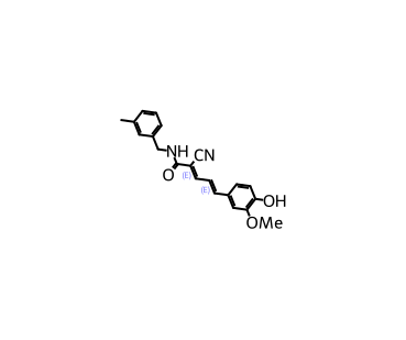 COc1cc(/C=C/C=C(\C#N)C(=O)NCc2cccc(C)c2)ccc1O